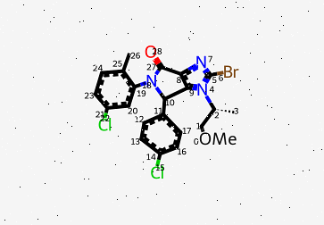 COC[C@@H](C)n1c(Br)nc2c1C(c1ccc(Cl)cc1)N(c1cc(Cl)ccc1C)C2=O